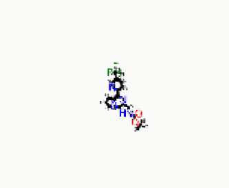 CC(C)(C)OC(=O)NCc1cn2cccc2c(-c2ccc(C(F)(F)F)cn2)n1